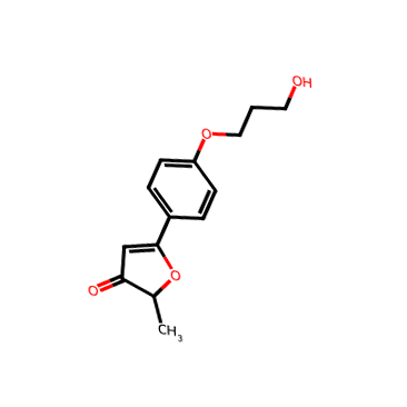 CC1OC(c2ccc(OCCCO)cc2)=CC1=O